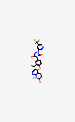 CCc1cc(N2C(=O)CN(c3cncc(C(F)(F)F)c3)C2=O)ccc1Oc1ccnc2c1CCC(=O)N2